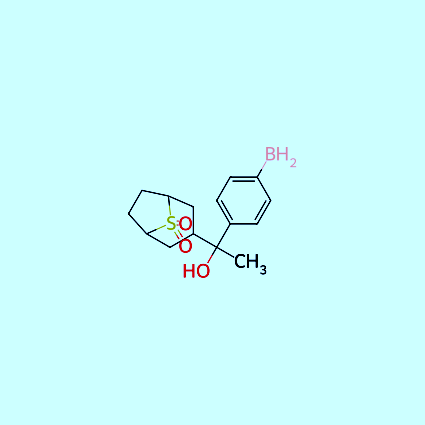 Bc1ccc(C(C)(O)C2CC3CCC(C2)S3(=O)=O)cc1